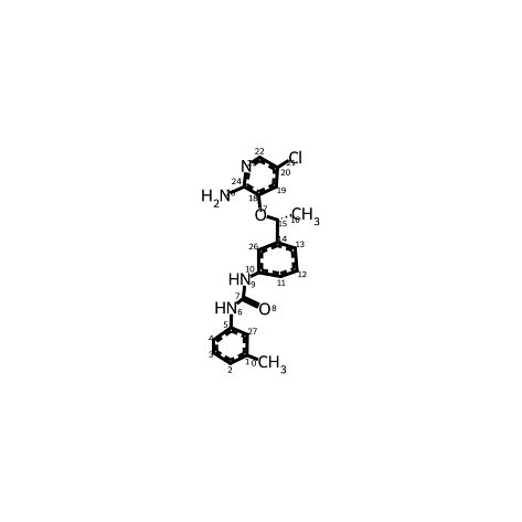 Cc1cccc(NC(=O)Nc2cccc([C@@H](C)Oc3cc(Cl)cnc3N)c2)c1